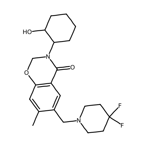 Cc1cc2c(cc1CN1CCC(F)(F)CC1)C(=O)N(C1CCCCC1O)CO2